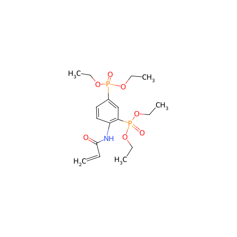 C=CC(=O)Nc1ccc(P(=O)(OCC)OCC)cc1P(=O)(OCC)OCC